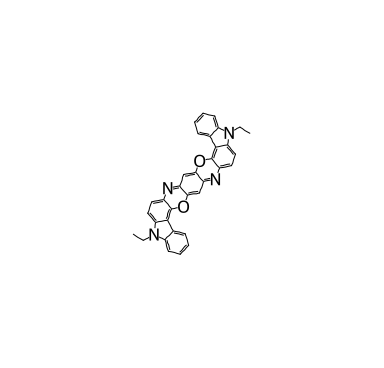 CCn1c2ccccc2c2c3c(ccc21)N=c1cc2c(cc1O3)=Nc1ccc3c(c1O2)c1ccccc1n3CC